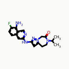 CC(C)N1CCc2cc(Nc3cc4ccc(F)c(N)c4cn3)nn2CC1=O